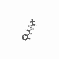 Cc1ccccc1NC(=O)NNC(=O)C(C)(C)C